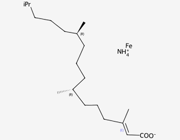 C/C(=C\C(=O)[O-])CCC[C@H](C)CCC[C@H](C)CCCC(C)C.[Fe].[NH4+]